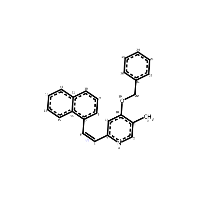 Cc1cnc(/C=C\c2cccc3ccccc23)cc1OCc1ccccc1